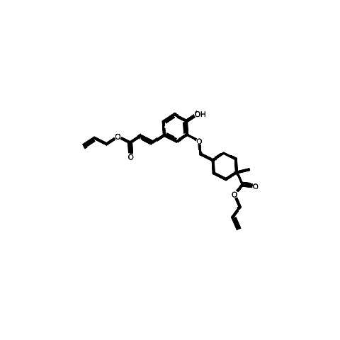 C=CCOC(=O)C=Cc1ccc(O)c(OCC2CCC(C)(C(=O)OCC=C)CC2)c1